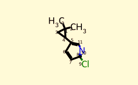 CC1(C)CC1c1ccc(Cl)nc1